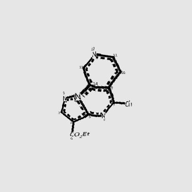 CCOC(=O)c1cnn2c1nc(Cl)c1ccncc12